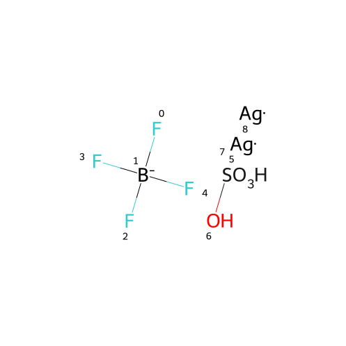 F[B-](F)(F)F.O=S(=O)(O)O.[Ag].[Ag]